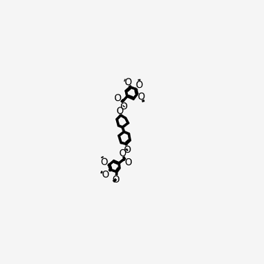 COc1cc(C(=O)OOC2=CCC(C3CCC(OOC(=O)c4cc(OC)c(OC)c(OC)c4)CC3)CC2)cc(OC)c1OC